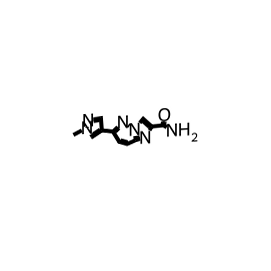 Cn1cc(-c2ccc3nc(C(N)=O)cn3n2)cn1